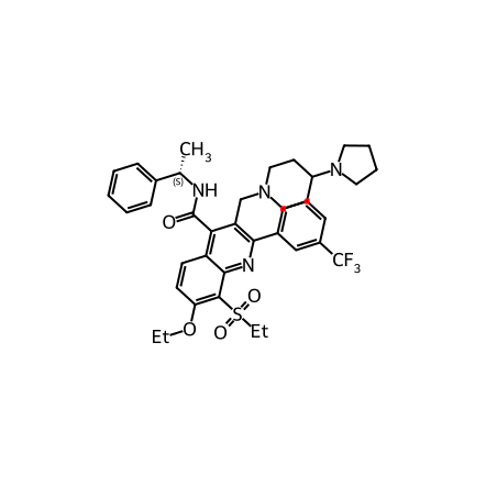 CCOc1ccc2c(C(=O)N[C@@H](C)c3ccccc3)c(CN3CCC(N4CCCC4)CC3)c(-c3cccc(C(F)(F)F)c3)nc2c1S(=O)(=O)CC